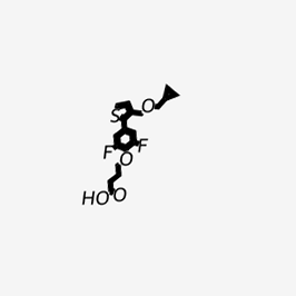 O=C(O)CCCOc1c(F)cc(-c2sccc2COCC2CC2)cc1F